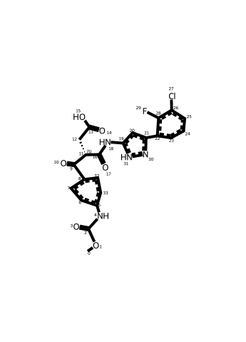 COC(=O)Nc1ccc(C(=O)[C@H](CC(=O)O)C(=O)Nc2cc(-c3cccc(Cl)c3F)n[nH]2)cc1